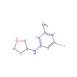 Cc1nc(I)cc(NC2CCOC2)n1